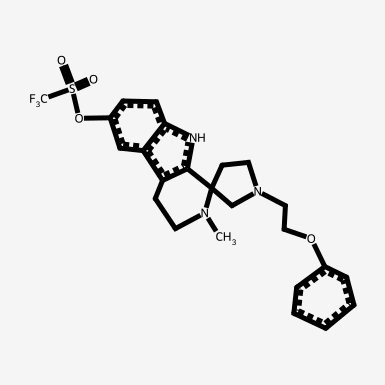 CN1CCc2c([nH]c3ccc(OS(=O)(=O)C(F)(F)F)cc23)C12CCN(CCOc1ccccc1)C2